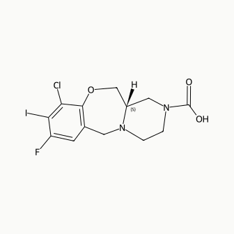 O=C(O)N1CCN2Cc3cc(F)c(I)c(Cl)c3OC[C@@H]2C1